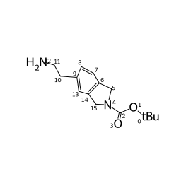 CC(C)(C)OC(=O)N1Cc2ccc(CCN)cc2C1